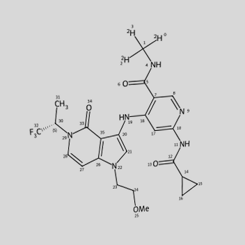 [2H]C([2H])([2H])NC(=O)c1cnc(NC(=O)C2CC2)cc1Nc1cn(CCOC)c2ccn([C@@H](C)C(F)(F)F)c(=O)c12